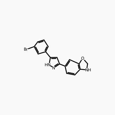 Brc1cccc(-c2cc(-c3ccc4c(c3)OCN4)n[nH]2)c1